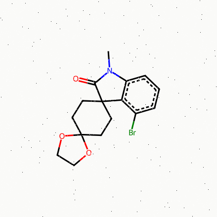 CN1C(=O)C2(CCC3(CC2)OCCO3)c2c(Br)cccc21